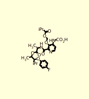 CC(C)C(=O)OCOc1c(NC(=O)O)ccnc1C(=O)N[C@@H](C)C(=O)OC(C)C(Oc1ccc(F)cc1)C(C)C